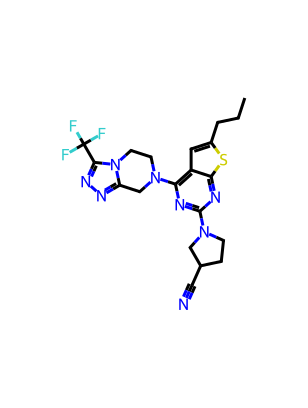 CCCc1cc2c(N3CCn4c(nnc4C(F)(F)F)C3)nc(N3CCC(C#N)C3)nc2s1